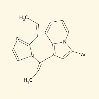 C/C=C\c1nccn1/C(=C\C)c1cc(C(C)=O)n2ccccc12